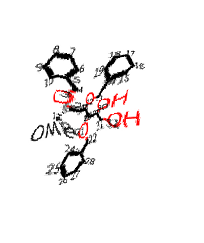 COC[C@H](OCc1ccccc1)[C@@H](OCc1ccccc1)[C@H](OCc1ccccc1)[C@H](O)CO